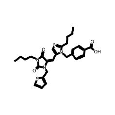 CCCCc1ncc(/C=C2\C(=O)N(CCCC)C(=O)N2Cc2cccs2)n1Cc1ccc(C(=O)O)cc1